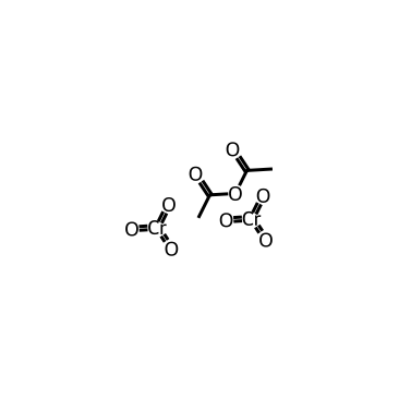 CC(=O)OC(C)=O.[O]=[Cr](=[O])=[O].[O]=[Cr](=[O])=[O]